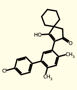 Cc1cc(C)c(-c2ccc(Cl)cc2)cc1C1=C(O)C2(CCCCC2)CC1=O